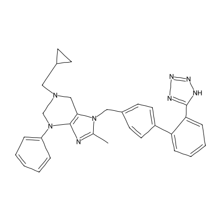 Cc1nc2c(n1Cc1ccc(-c3ccccc3-c3nnn[nH]3)cc1)CN(CC1CC1)CN2c1ccccc1